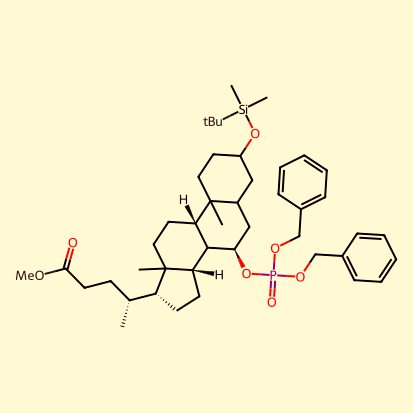 COC(=O)CC[C@@H](C)[C@H]1CC[C@H]2C3[C@H](OP(=O)(OCc4ccccc4)OCc4ccccc4)CC4CC(O[Si](C)(C)C(C)(C)C)CCC4(C)[C@H]3CCC12C